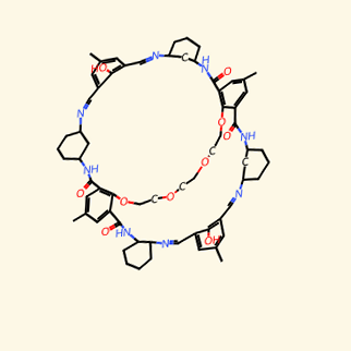 Cc1cc2c(O)c(c1)C=NC1CCCC(C1)NC(=O)c1cc(C)cc3c1OCCOCCOCCOc1c(cc(C)cc1C(=O)NC1CCCC(C1)/N=C\c1cc(C)cc(c1O)/C=N\C1CCCCC1NC3=O)C(=O)NC1CCCC(C1)N=C2